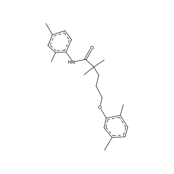 Cc1ccc(NC(=O)C(C)(C)CCCOc2cc(C)ccc2C)c(C)c1